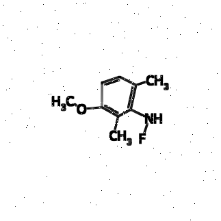 COc1ccc(C)c(NF)c1C